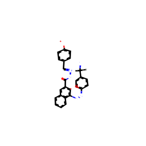 CCCC(N)(CC)c1ccc(/N=N\c2c(O)c(C(=O)NN=Cc3ccc(OCC)cc3)cc3ccccc23)cc1